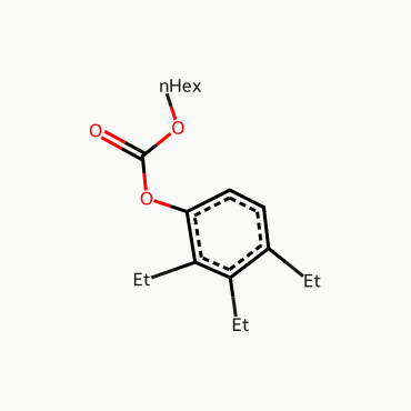 CCCCCCOC(=O)Oc1ccc(CC)c(CC)c1CC